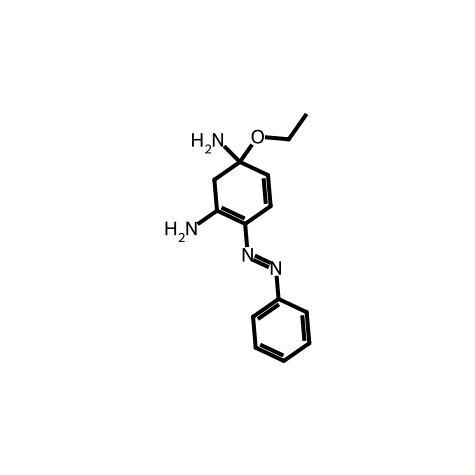 CCOC1(N)C=CC(N=Nc2ccccc2)=C(N)C1